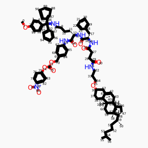 COc1ccc(C(NCCCC[C@H](NC(=O)[C@H](Cc2ccccc2)NC(=O)CCC(=O)NCCCOC2CC[C@@]3(C)C(=CC[C@H]4[C@@H]5CC[C@H]([C@H](C)CCCC(C)C)[C@@]5(C)CC[C@@H]43)C2)C(=O)Nc2ccc(COC(=O)Oc3ccc([N+](=O)[O-])cc3)cc2)(c2ccccc2)c2ccccc2)cc1